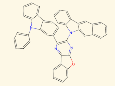 c1ccc(-n2c3ccccc3c3ccc(-c4nc5c(nc4-n4c6ccccc6c6cc7ccccc7cc64)oc4ccccc45)cc32)cc1